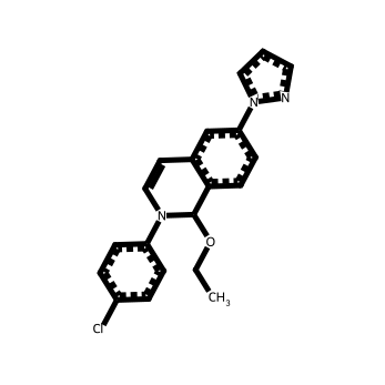 CCOC1c2ccc(-n3cccn3)cc2C=CN1c1ccc(Cl)cc1